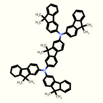 CC1(C)C2=C(C=CCC2)c2ccc(N(c3ccc4c(c3)C3C=CC=CC3C4(C)C)c3ccc4c(c3)C(C)(C)c3cc(N(c5ccc6c(c5)-c5ccccc5C6(C)C)c5ccc6c(c5)-c5ccccc5C6(C)C)ccc3-4)cc21